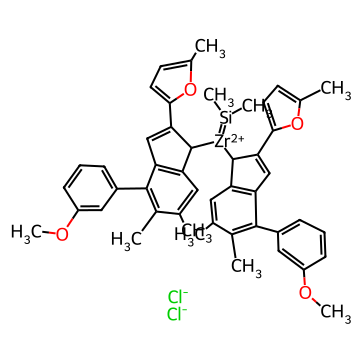 COc1cccc(-c2c(C)c(C)cc3c2C=C(c2ccc(C)o2)[CH]3[Zr+2]([CH]2C(c3ccc(C)o3)=Cc3c2cc(C)c(C)c3-c2cccc(OC)c2)=[Si](C)C)c1.[Cl-].[Cl-]